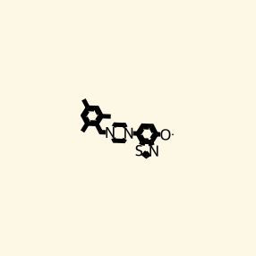 Cc1cc(C)c(CN2CCN(c3ccc([O])c4ncsc34)CC2)c(C)c1